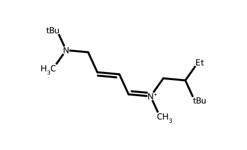 CCC(C/[N+](C)=C\C=CCN(C)C(C)(C)C)C(C)(C)C